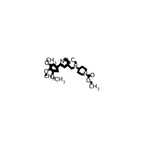 CCOC(=O)N1CCC(N(CC)Cc2ccnc(-c3cc(OC)c(OC)c(OC)c3)c2)CC1